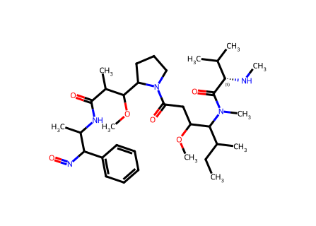 CCC(C)C(C(CC(=O)N1CCCC1C(OC)C(C)C(=O)NC(C)C(N=O)c1ccccc1)OC)N(C)C(=O)[C@@H](NC)C(C)C